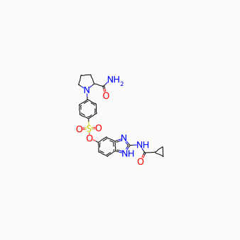 NC(=O)C1CCCN1c1ccc(S(=O)(=O)Oc2ccc3[nH]c(NC(=O)C4CC4)nc3c2)cc1